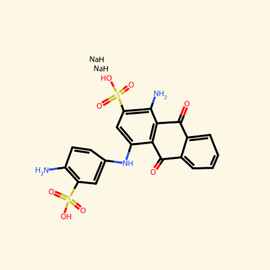 Nc1ccc(Nc2cc(S(=O)(=O)O)c(N)c3c2C(=O)c2ccccc2C3=O)cc1S(=O)(=O)O.[NaH].[NaH]